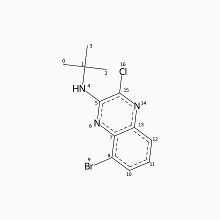 CC(C)(C)Nc1nc2c(Br)cccc2nc1Cl